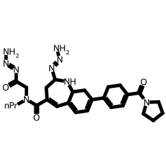 CCCN(CC(=O)N=NN)C(=O)C1=CC2=CC=C(C3=CC=C(C(=O)N4CCCC4)CC3)CC2NC(N=NN)C1